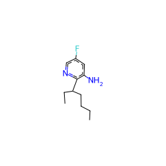 CCCCC(CC)c1ncc(F)cc1N